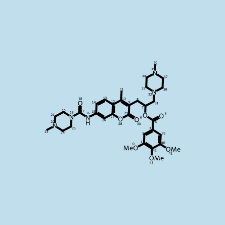 COc1cc(C(=O)OC(Cc2c(C)c3ccc(NC(=O)N4CCN(C)CC4)cc3oc2=O)CN2CCN(C)CC2)cc(OC)c1OC